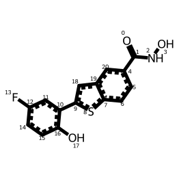 O=C(NO)c1ccc2sc(-c3cc(F)ccc3O)cc2c1